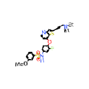 CCN(CC)CC#Cc1cc2nccc(Oc3ccc(NS(=O)(=O)c4cccc(OC)c4)cc3F)c2s1